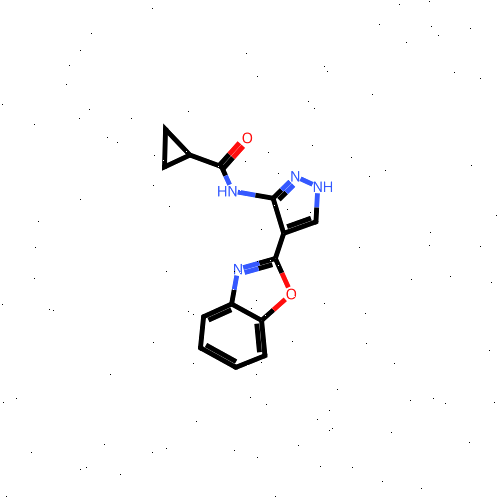 O=C(Nc1n[nH]cc1-c1nc2ccccc2o1)C1CC1